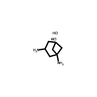 Cl.Cl.NC1CC2CC(N)(C1)C2